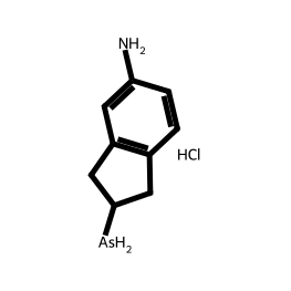 Cl.Nc1ccc2c(c1)CC([AsH2])C2